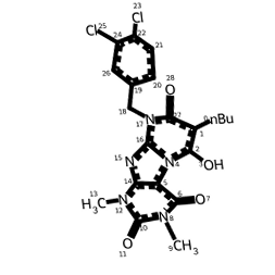 CCCCc1c(O)n2c3c(=O)n(C)c(=O)n(C)c3nc2n(Cc2ccc(Cl)c(Cl)c2)c1=O